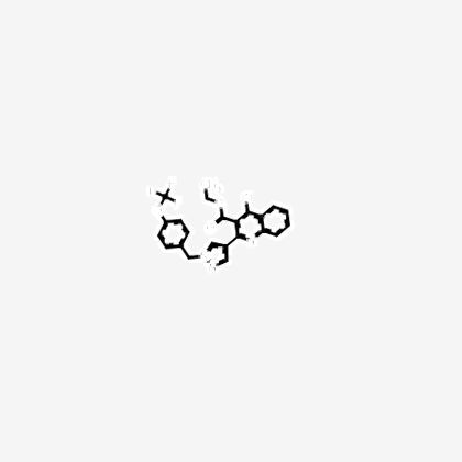 CCOC(=O)c1c(-c2cnn(Cc3ccc(OC(F)(F)F)cc3)c2)nc2ccccc2c1Cl